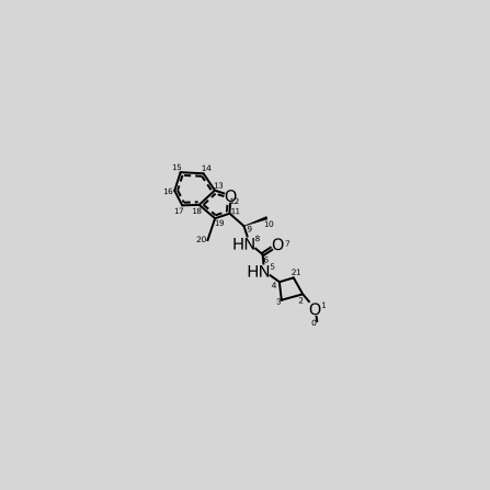 COC1CC(NC(=O)N[C@H](C)c2oc3ccccc3c2C)C1